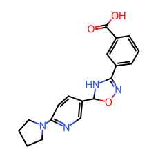 O=C(O)c1cccc(C2=NOC(c3ccc(N4CCCC4)nc3)N2)c1